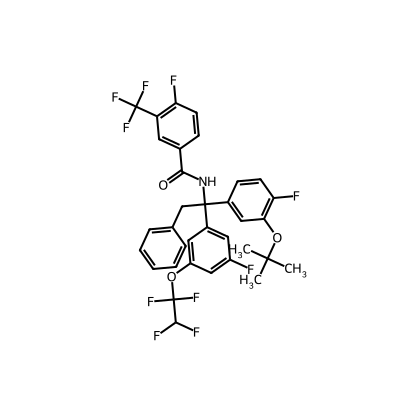 CC(C)(C)Oc1cc(C(Cc2ccccc2)(NC(=O)c2ccc(F)c(C(F)(F)F)c2)c2cc(F)cc(OC(F)(F)C(F)F)c2)ccc1F